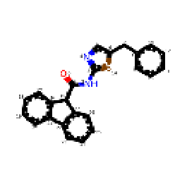 O=C(Nc1ncc(Cc2ccccc2)s1)C1c2ccccc2-c2ccccc21